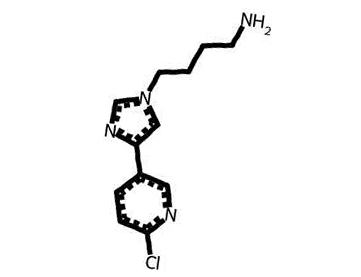 NCCCCn1cnc(-c2ccc(Cl)nc2)c1